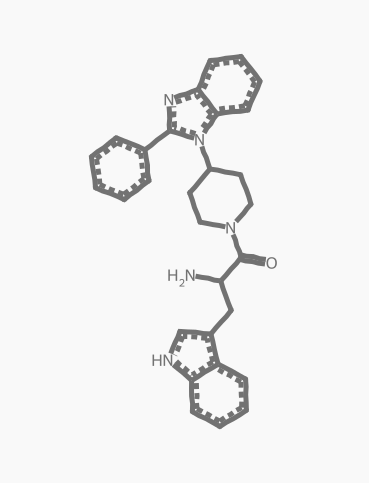 NC(Cc1c[nH]c2ccccc12)C(=O)N1CCC(n2c(-c3ccccc3)nc3ccccc32)CC1